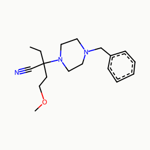 CCC(C#N)(CCOC)N1CCN(Cc2ccccc2)CC1